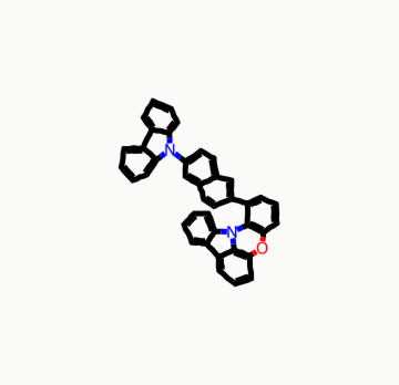 c1cc2c(c(-c3ccc4cc(-n5c6ccccc6c6ccccc65)ccc4c3)c1)-n1c3ccccc3c3cccc(c31)O2